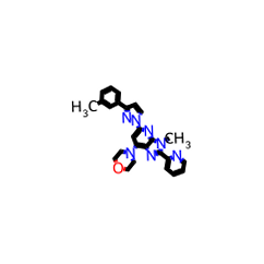 Cc1cccc(-c2ccn(-c3cc(N4CCOCC4)c4nc(-c5ccccn5)n(C)c4n3)n2)c1